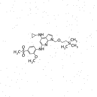 COc1cc(S(C)(=O)=O)ccc1Nc1cc(NC2CC2)c2ccn(COCC[Si](C)(C)C)c2n1